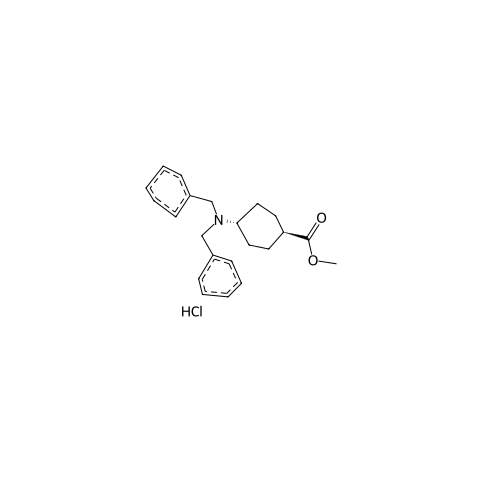 COC(=O)[C@H]1CC[C@H](N(Cc2ccccc2)Cc2ccccc2)CC1.Cl